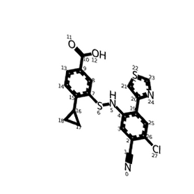 N#Cc1cc(NSc2cc(C(=O)O)ccc2C2CC2)c(-c2cscn2)cc1Cl